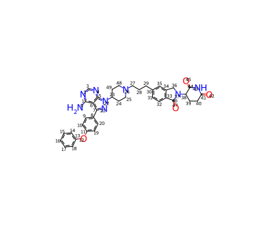 Nc1ncnc2c1c(-c1ccc(Oc3ccccc3)cc1)nn2C1CCN(CCCc2ccc3c(c2)CN(C2CCC(=O)NC2=O)C3=O)CC1